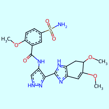 COC1=Cc2nc(-c3n[nH]cc3NC(=O)c3cc(S(N)(=O)=O)ccc3OC)[nH]c2CC1OC